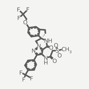 CS(=O)(=O)CC(=O)Nc1c(-c2ccc(C(F)(F)F)cc2)nn2c1C(=O)N[C@@]1(CCc3cc(OCC(F)(F)F)ccc31)C2